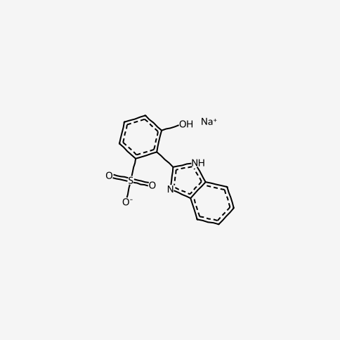 O=S(=O)([O-])c1cccc(O)c1-c1nc2ccccc2[nH]1.[Na+]